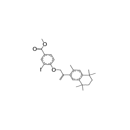 C=C(COc1ccc(C(=O)OC)cc1I)c1cc2c(cc1C)C(C)(C)CCC2(C)C